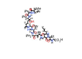 C=C(CC(=O)[C@H](CC(C)C)N(C)C(=O)[C@H](CC(C)C)N(C)C(=O)[C@@H](C)NC(=C)[C@H](C)CCC(C)(O)[C@H](CC(C)C)N(C)C(=O)[C@@H](NC(=O)[C@H](CC(C)C)NC)C(C)C)[C@H](C(=O)N(C)C[C@@H](C[C@H](C)C/C=C/C)C(=O)N[C@@H](CC)C(=O)N(C)CC(=O)O)C(C)C